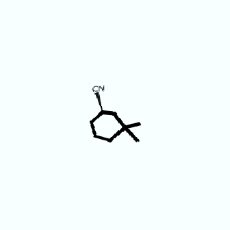 CC1(C)CCC[C@@H](C#N)C1